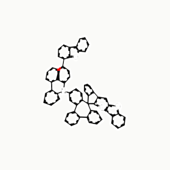 c1ccc(-c2ccccc2N(c2ccc(-c3cccc4c3oc3ccccc34)cc2)c2ccc3c(c2)-c2ccccc2-c2ccccc2C32c3ccccc3-c3cc4oc5ccccc5c4cc32)cc1